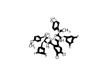 COc1ccc(N(C)C(=O)[C@H](Cc2cc(F)cc(F)c2)NC(=O)c2cc(Cl)c(Cl)cc2C(=O)N[C@@H](Cc2cc(F)cc(F)c2)C(=O)N(C)c2ccc(OC)cc2)cc1